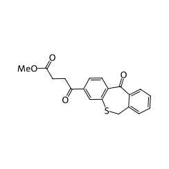 COC(=O)CCC(=O)c1ccc2c(c1)SCc1ccccc1C2=O